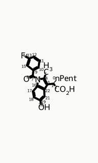 CCCCC[C@H](C(=O)O)c1c(C)n(C(=O)c2cccc(F)c2)c2ccc(O)cc12